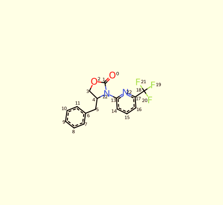 O=C1OCC(Cc2ccccc2)N1c1cccc(C(F)(F)F)n1